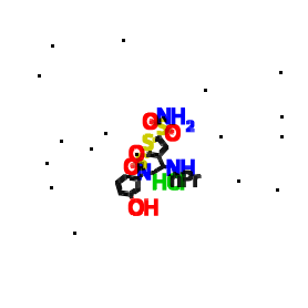 CCCN[C@H]1CN(c2cccc(O)c2)S(=O)(=O)c2sc(S(N)(=O)=O)cc21.Cl